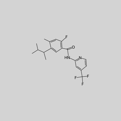 Cc1cc(F)c(C(=O)Nc2cc(C(F)(F)F)ccn2)cc1C(C)C(C)C